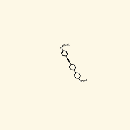 CCCCCOc1ccc(C#CC2CCC(C3CCC(CCCCC)CC3)CC2)cc1